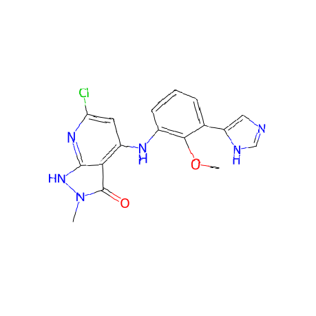 COc1c(Nc2cc(Cl)nc3[nH]n(C)c(=O)c23)cccc1-c1cnc[nH]1